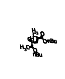 CCCCOC(=O)C(C)C[PH](=O)C(C)OCCCC